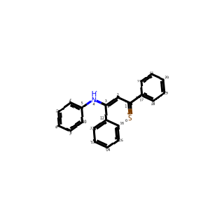 S=C(C=C(Nc1ccccc1)c1ccccc1)c1ccccc1